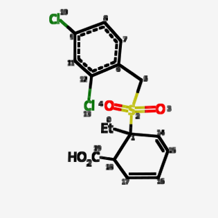 CCC1(S(=O)(=O)Cc2ccc(Cl)cc2Cl)C=CC=CC1C(=O)O